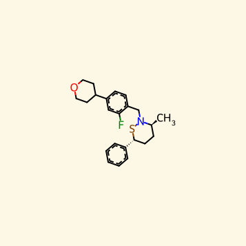 C[C@H]1CC[C@H](c2ccccc2)SN1Cc1ccc(C2CCOCC2)cc1F